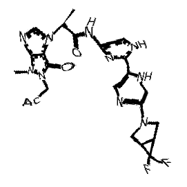 CC(=O)Cn1c(=O)c2c(ncn2[C@@H](C)C(=O)Nc2c[nH]c(C3=CN=C(N4CC5C(C4)C5(F)F)CN3)n2)n1C